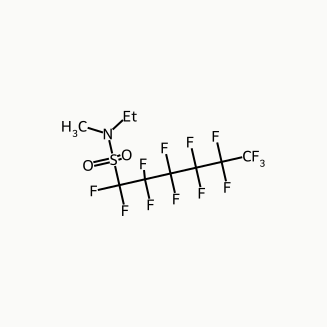 [CH2]CN(C)S(=O)(=O)C(F)(F)C(F)(F)C(F)(F)C(F)(F)C(F)(F)C(F)(F)F